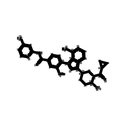 COc1cc(C(=O)Nc2cc(C(F)(F)F)ccn2)ccc1-n1nc([C@@H]2CC[C@H](C)N(C(=O)C3CC3)C2)c2ccnc(N)c21